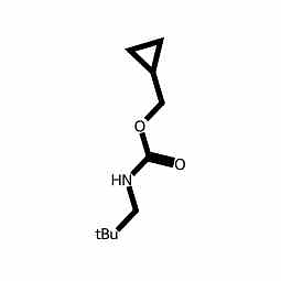 CC(C)(C)CNC(=O)OCC1CC1